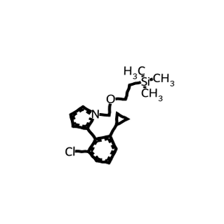 C[Si](C)(C)CCOCn1cccc1-c1c(Cl)cccc1C1CC1